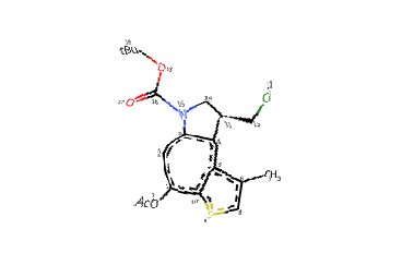 CC(=O)Oc1cc2c(c3c(C)csc13)[C@H](CCl)CN2C(=O)OC(C)(C)C